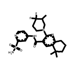 CC1CN(c2nc3c(cc2C(=O)Nc2ccnc(S(N)(=O)=O)c2)C(C)(C)CCC3)CCC1(F)F